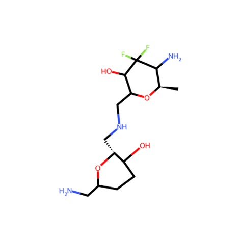 C[C@H]1OC(CNC[C@H]2OC(CN)CCC2O)C(O)C(F)(F)C1N